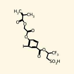 C=C(C)C(=O)OCC(=O)Oc1ccc(C(=O)OC(CS(=O)(=O)O)C(F)(F)F)cc1I